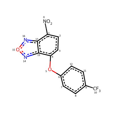 O=[N+]([O-])c1ccc(Oc2ccc(C(F)(F)F)cc2)c2nonc12